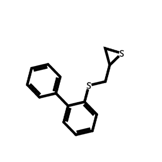 c1ccc(-c2ccccc2SCC2CS2)cc1